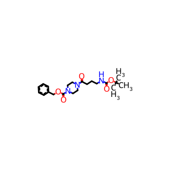 CC(C)(C)OC(=O)NCCCC(=O)N1CCN(C(=O)OCc2ccccc2)CC1